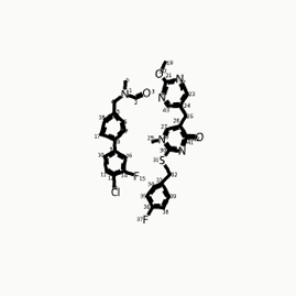 CN(C=O)Cc1ccc(-c2ccc(Cl)c(F)c2)cc1.COc1ncc(Cc2cn(C)c(SCc3ccc(F)cc3)nc2=O)cn1